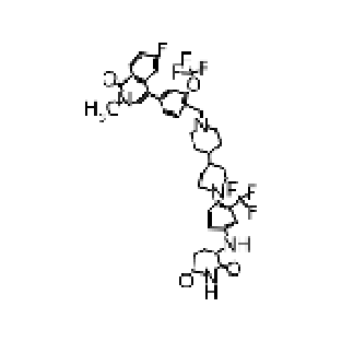 Cn1cc(-c2ccc(CN3CCC(C4CCN(c5ccc(NC6CCC(=O)NC6=O)cc5C(F)(F)F)CC4)CC3)c(OC(F)(F)F)c2)c2cc(F)ccc2c1=O